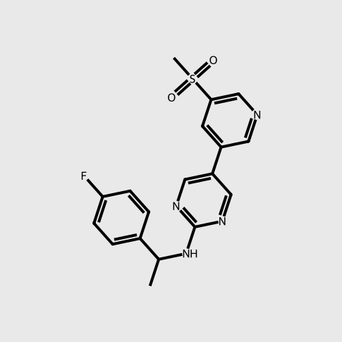 CC(Nc1ncc(-c2cncc(S(C)(=O)=O)c2)cn1)c1ccc(F)cc1